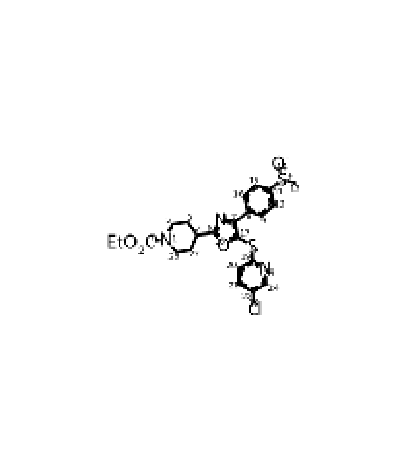 CCOC(=O)N1CCC(c2nc(-c3ccc([S+](C)[O-])cc3)c(Sc3ccc(Cl)cn3)o2)CC1